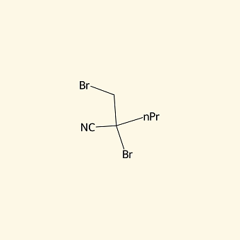 CCCC(Br)(C#N)CBr